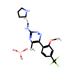 BrB(Br)Br.COc1cc(C(F)(F)F)ccc1-c1nnc(NC[C@@H]2CCCN2)nc1C